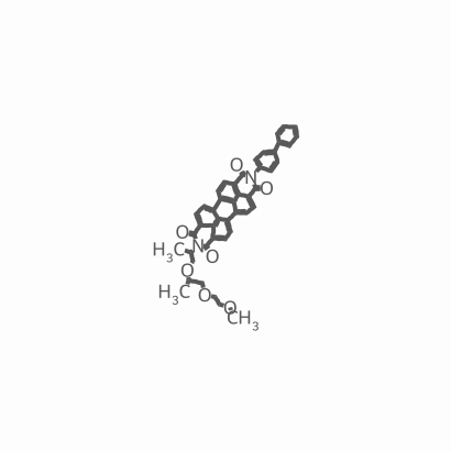 COCCOCC(C)OCC(C)N1C(=O)c2ccc3c4ccc5c6c(ccc(c7ccc(c2c37)C1=O)c64)C(=O)N(c1ccc(-c2ccccc2)cc1)C5=O